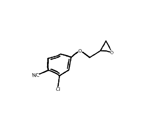 N#Cc1ccc(OCC2CO2)cc1Cl